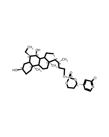 CC[C@@H]1C2C[C@H](O)CC[C@]2(C)C2CC[C@@]3(C)C(CC[C@@H]3[C@H](C)CCO[P@@]3(=O)OCC[C@@H](c4ccnc(Cl)c4)O3)C2[C@@H]1O